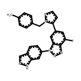 Cc1ccc(Cn2nccc2-c2cc(F)c3nnn(-c4ccc5cn[nH]c5c4)c3c2)cc1